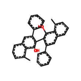 Cc1cccc2cc(-c3ccccc3)c(-c3c(-c4ccccc4)cc4cccc(C)c4c3O)c(O)c12